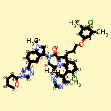 Cc1cc(OCCCc2c3n(c4c(-c5c(C)ncnc5C)c(Cl)ccc24)[C@H](C)CN(c2cn(C)c4ccc(-c5ncn(C6CCCCO6)n5)cc24)C3=O)cc(C)c1Cl